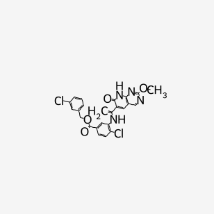 C=C(Nc1cc(C(=O)OCc2cccc(Cl)c2)ccc1Cl)c1cc2cnc(OC)nc2[nH]c1=O